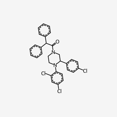 O=C(C(c1ccccc1)c1ccccc1)N1CCN(c2ccc(Cl)cc2Cl)C(c2ccc(Cl)cc2)C1